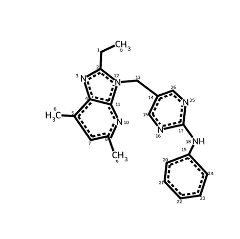 CCc1nc2c(C)cc(C)nc2n1Cc1cnc(Nc2ccccc2)nc1